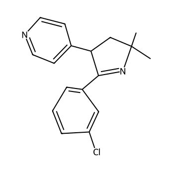 CC1(C)CC(c2ccncc2)C(c2cccc(Cl)c2)=N1